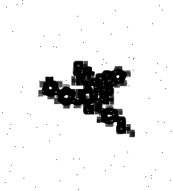 COC(=O)NC(C(=O)NC(Cc1ccc(-c2cccnc2)cc1)C(O)CN(Cc1ccc(OC)cc1)NC(=O)OC1COC2CCCC21)C(C)(C)C